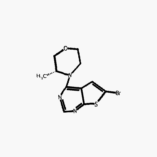 C[C@@H]1COCCN1c1ncnc2sc(Br)cc12